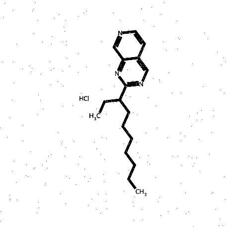 CCCCCCCC(CC)c1ncc2ccncc2n1.Cl